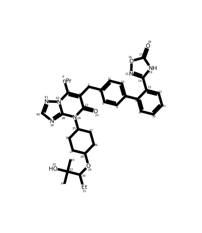 CCCc1c(Cc2ccc(-c3ccccc3-c3noc(=O)[nH]3)cc2)c(=O)n(C2CCC(OC(CC)C(C)(C)O)CC2)c2ncnn12